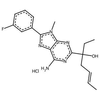 CC=CCC(O)(CC)c1nc(N)c2nc(-c3cccc(F)c3)n(C)c2n1.Cl